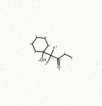 CCC(=O)C(F)(F)C1(O)CCCCC1